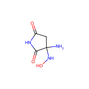 NC1(NO)CC(=O)NC1=O